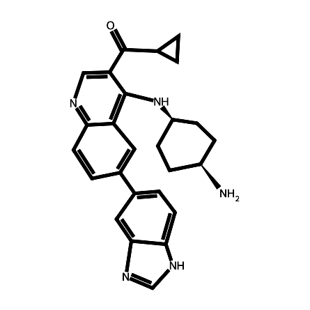 N[C@H]1CC[C@@H](Nc2c(C(=O)C3CC3)cnc3ccc(-c4ccc5[nH]cnc5c4)cc23)CC1